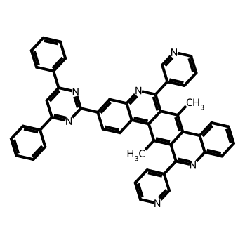 Cc1c2c(-c3cccnc3)nc3cc(-c4nc(-c5ccccc5)cc(-c5ccccc5)n4)ccc3c2c(C)c2c(-c3cccnc3)nc3ccccc3c12